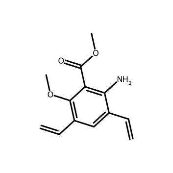 C=Cc1cc(C=C)c(OC)c(C(=O)OC)c1N